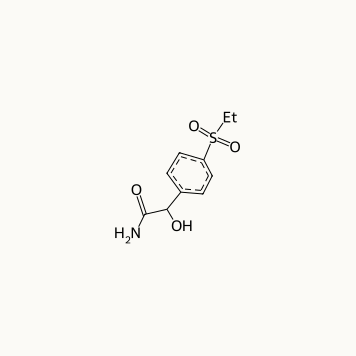 CCS(=O)(=O)c1ccc(C(O)C(N)=O)cc1